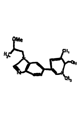 COC(C)Cn1cnc2ccc(C3=CN(C)C(O)C(C)=C3)cc21